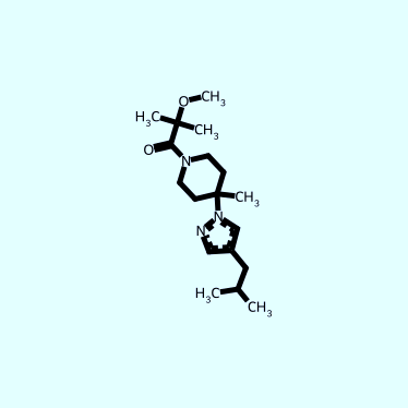 COC(C)(C)C(=O)N1CCC(C)(n2cc(CC(C)C)cn2)CC1